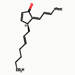 CCCCCC=CC=C1C(=O)C=C[C@@H]1CC=CCCCC(=O)O